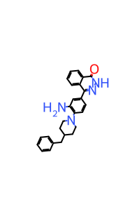 Nc1cc(-c2n[nH]c(=O)c3ccccc23)ccc1N1CCC(Cc2ccccc2)CC1